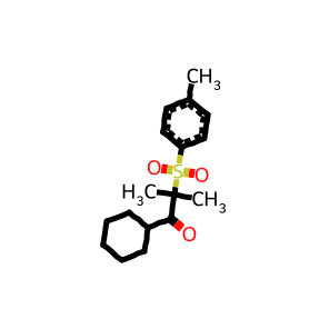 Cc1ccc(S(=O)(=O)C(C)(C)C(=O)C2CCCCC2)cc1